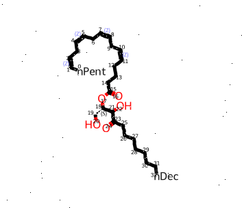 CCCCC/C=C\C/C=C\C/C=C\C/C=C\CCCC(=O)O[C@@H](CO)C(O)C(=O)CCCCCCCCCCCCCCCCC